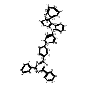 c1ccc(-c2nc(-c3ccccc3)nc(-c3ccc(-c4ccc(-n5c6ccccc6c6c7c(ccc65)sc5ccccc57)cc4)cc3)n2)cc1